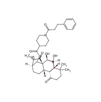 C=C1C(=O)[C@]23[C@H](OC(=O)C4CCN(C(=O)CCc5ccccc5)CC4)[C@H]1CC[C@H]2[C@@]12CO[C@]3(O)[C@@H](O)[C@@H]1C(C)(C)CCC2=O